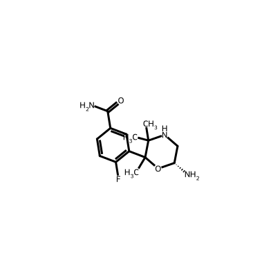 CC1(C)NC[C@H](N)OC1(C)c1cc(C(N)=O)ccc1F